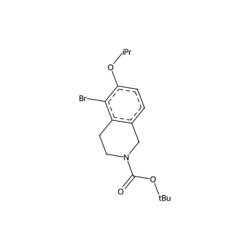 CC(C)Oc1ccc2c(c1Br)CCN(C(=O)OC(C)(C)C)C2